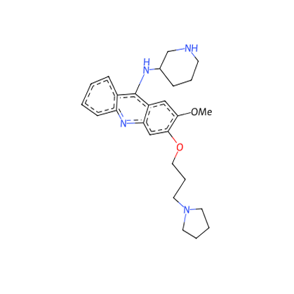 COc1cc2c(NC3CCCNC3)c3ccccc3nc2cc1OCCCN1CCCC1